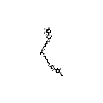 C=CC(COCCCCCOC1COC(c2ccc(C)c(F)c2F)OC1)COCCCCCOC1COC(c2ccc(OCC)c(F)c2F)OC1